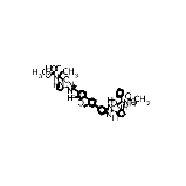 COC(=O)NC(C(=O)N1CCC[C@H]1c1ncc(-c2ccc3c(c2F)OCc2cc(-c4ccc5nc([C@@H]6[C@H]7CC[C@H](C7)N6C(=O)[C@H](NC(=O)OC)c6ccccc6)[nH]c5c4)ccc2-3)[nH]1)C(C)C